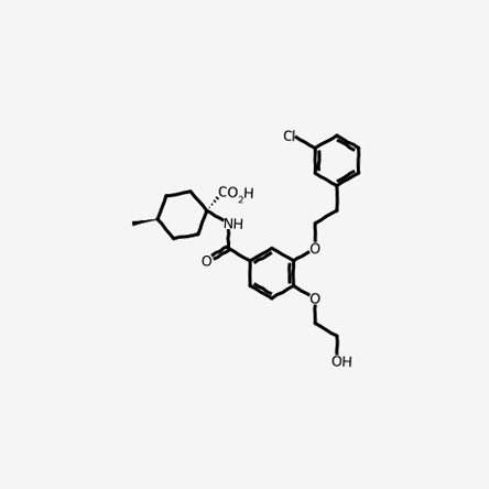 C[C@H]1CC[C@](NC(=O)c2ccc(OCCO)c(OCCc3cccc(Cl)c3)c2)(C(=O)O)CC1